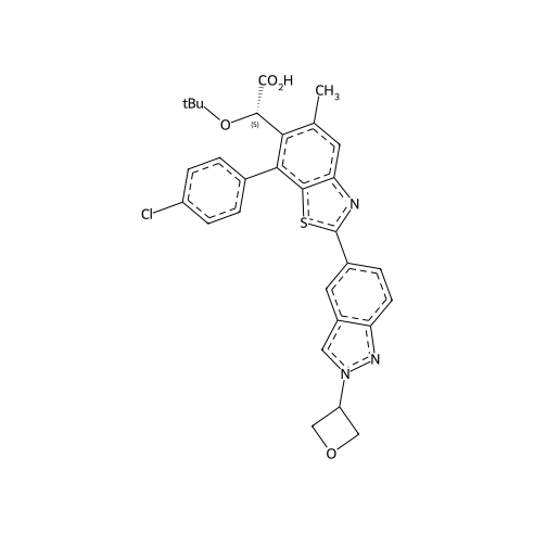 Cc1cc2nc(-c3ccc4nn(C5COC5)cc4c3)sc2c(-c2ccc(Cl)cc2)c1[C@H](OC(C)(C)C)C(=O)O